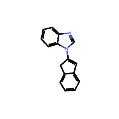 C1=C(n2cnc3ccccc32)Cc2ccccc21